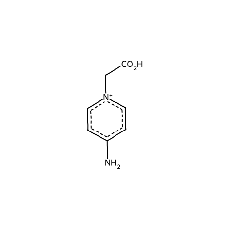 Nc1cc[n+](CC(=O)O)cc1